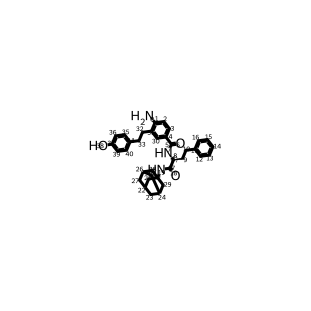 Nc1ccc(C(=O)N[C@@H](CCc2ccccc2)C(=O)NC23CC4CC(CC(C4)C2)C3)cc1CCc1ccc(O)cc1